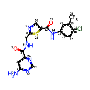 Nc1cc(C(=O)NCc2ncc(C(=O)Nc3ccc(Cl)c(C(F)(F)F)c3)s2)ncn1